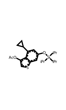 CC(=O)Oc1csc2cc(O[Si](C(C)C)(C(C)C)C(C)C)cc(C3CC3)c12